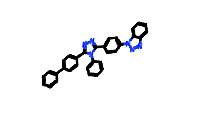 c1ccc(-c2ccc(-c3nnc(-c4ccc(-n5nnc6ccccc65)cc4)n3-c3ccccc3)cc2)cc1